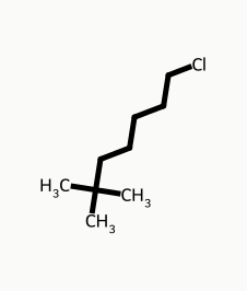 CC(C)(C)CCCCCCl